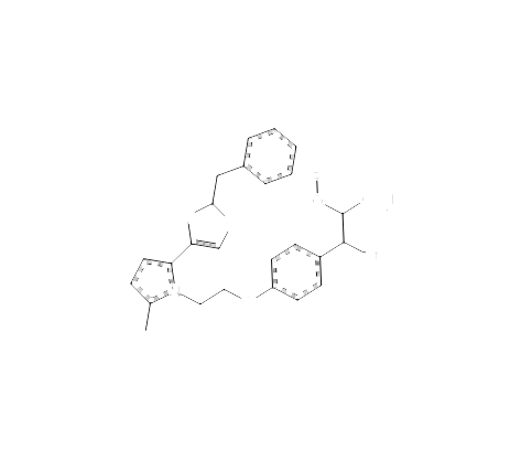 CCOC(C(=O)O)C(CC)c1ccc(OCCn2c(C)ccc2C2=COC(Cc3ccccc3)O2)cc1